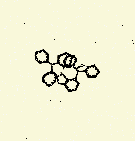 CCc1cccc(P(c2ccccc2)c2ccccc2)c1[C@H]1CCc2cccc(P(c3ccccc3)c3ccccc3)c21